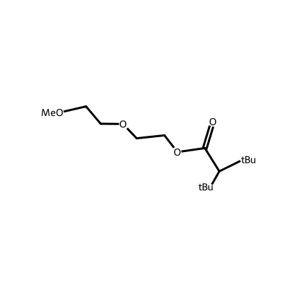 COCCOCCOC(=O)C(C(C)(C)C)C(C)(C)C